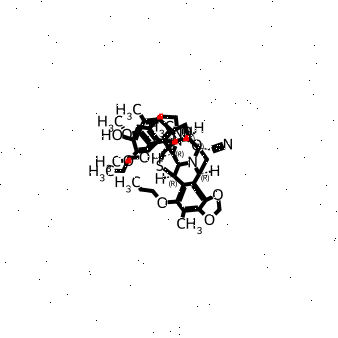 CCCOc1c(C)c2c(c3c1[C@H]1SC[C@]4(NCCc5cc(O)c(OC)cc54)C(=O)OC[C@@H]3N3C1[C@H]1c4c(cc(C)c(OC)c4OCCC)C[C@@H]([C@@H]3C#N)N1C)OCO2